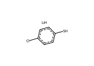 Sc1ccc(Cl)cc1.[LiH]